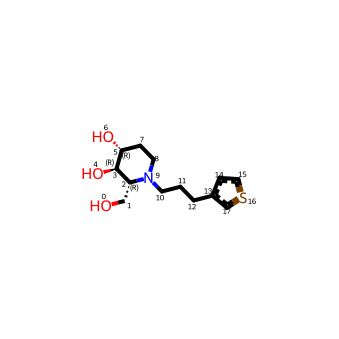 OC[C@@H]1[C@@H](O)[C@H](O)CCN1CCCc1ccsc1